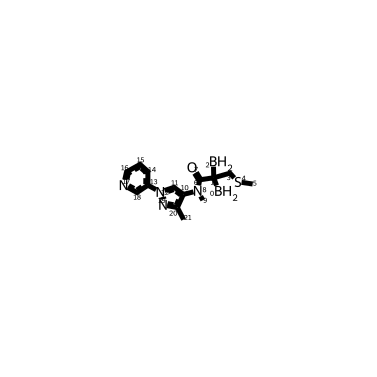 BC(B)(CSC)C(=O)N(C)c1cn(-c2cccnc2)nc1C